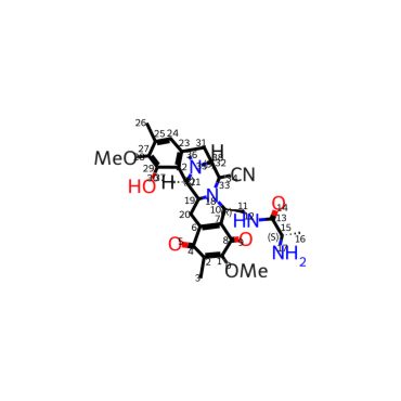 COC1=C(C)C(=O)C2=C(C1=O)[C@H](CNC(=O)[C@H](C)N)N1C(C2)[C@H]2c3c(cc(C)c(OC)c3O)C[C@@H](C1C#N)N2C